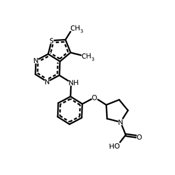 Cc1sc2ncnc(Nc3ccccc3OC3CCN(C(=O)O)C3)c2c1C